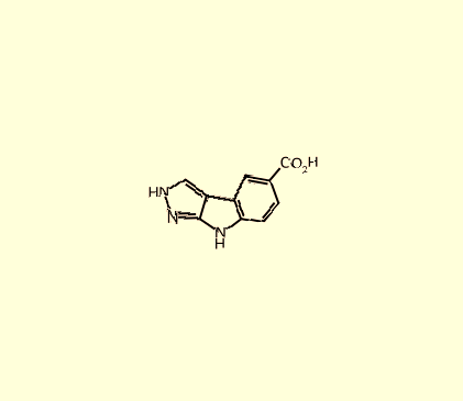 O=C(O)c1ccc2[nH]c3n[nH]cc3c2c1